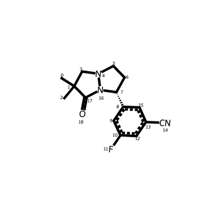 CC1(C)CN2CC[C@H](c3cc(F)cc(C#N)c3)N2C1=O